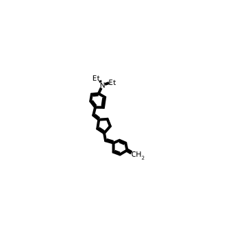 C=c1ccc(=CC2=C/C(=C/c3ccc(N(CC)CC)cc3)CC2)cc1